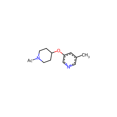 CC(=O)N1CCC(Oc2cncc(C)c2)CC1